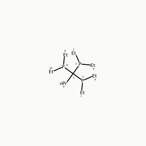 CCCC(P(CC)CC)(P(CC)CC)P(CC)CC